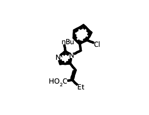 CCCCc1ncc(C=C(CC)C(=O)O)n1Cc1ccccc1Cl